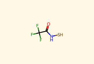 O=C(NS)C(F)(F)F